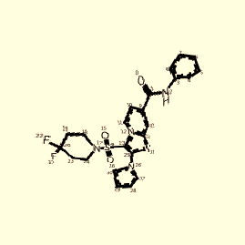 O=C(Nc1ccccc1)c1ccn2c(S(=O)(=O)N3CCC(F)(F)CC3)c(-n3cccc3)nc2c1